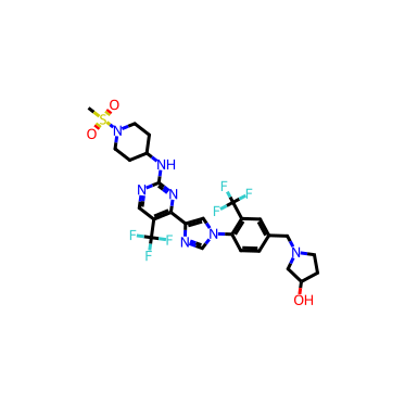 CS(=O)(=O)N1CCC(Nc2ncc(C(F)(F)F)c(-c3cn(-c4ccc(CN5CCC(O)C5)cc4C(F)(F)F)cn3)n2)CC1